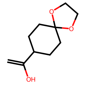 C=C(O)C1CCC2(CC1)OCCO2